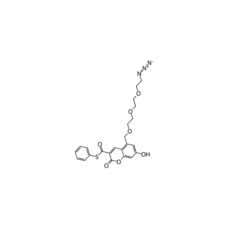 [N-]=[N+]=NCCOCCOCCOCc1cc(O)cc2oc(=O)c(C(=O)Sc3ccccc3)cc12